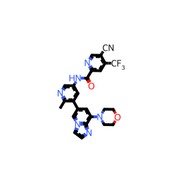 Cc1ncc(NC(=O)c2cc(C(F)(F)F)c(C#N)cn2)cc1-c1cc(N2CCOCC2)c2nccn2c1